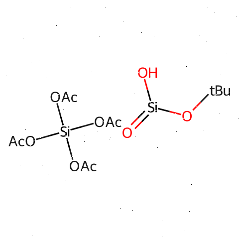 CC(=O)O[Si](OC(C)=O)(OC(C)=O)OC(C)=O.CC(C)(C)O[Si](=O)O